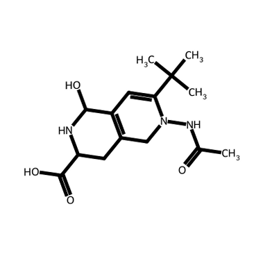 CC(=O)NN1CC2=C(C=C1C(C)(C)C)C(O)NC(C(=O)O)C2